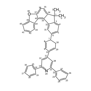 CC1(C)c2ccc(C3C=CC(c4cc(-c5ccccc5)nc(-c5ccccc5)c4)=CC3)cc2-c2c1ccc1oc3ccccc3c21